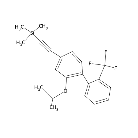 CC(C)Oc1cc(C#C[Si](C)(C)C)ccc1-c1ccccc1C(F)(F)F